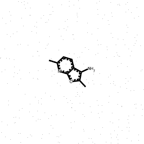 Cc1ccc2c(N)c(C)oc2n1